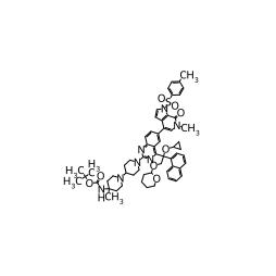 Cc1ccc(S(=O)(=O)n2ccc3c(-c4ccc5nc(N6CCC(N7CCC(C)(NC(=O)OC(C)(C)C)CC7)CC6)nc(C(COC6CCCCO6)(OC6CC6)c6cccc7ccccc67)c5c4)cn(C)c(=O)c32)cc1